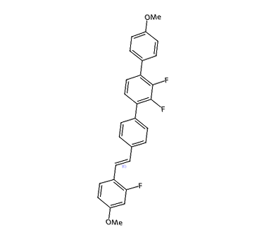 COc1ccc(-c2ccc(-c3ccc(/C=C/c4ccc(OC)cc4F)cc3)c(F)c2F)cc1